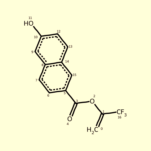 C=C(OC(=O)c1ccc2cc(O)ccc2c1)C(F)(F)F